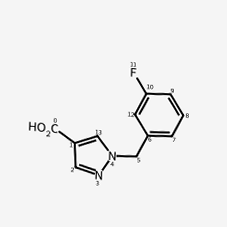 O=C(O)c1cnn(Cc2cccc(F)c2)c1